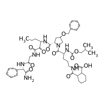 CCCC(NC(=O)[C@@H]1C[C@@H](OCc2ccccc2)CN1C(=O)C(CCCNC(=O)C1CCCCC1C(=O)O)NC(=O)OCC(C)C)C(=O)C(=O)NCC(=O)N[C@H](C(N)=O)c1ccccc1